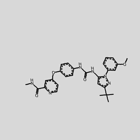 CNC(=O)c1cc(Oc2ccc(NC(=O)Nc3cc(C(C)(C)C)nn3-c3cccc(OC)c3)cc2)ccn1